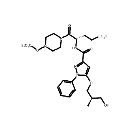 CCOC(=O)ON1CCN(C(=O)[C@H](CCC(=O)O)NC(=O)c2cc(OC[C@H](C)CO)n(-c3ccccc3)n2)CC1